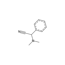 [CH3][Bi]([CH3])[CH](C#N)c1ccccc1